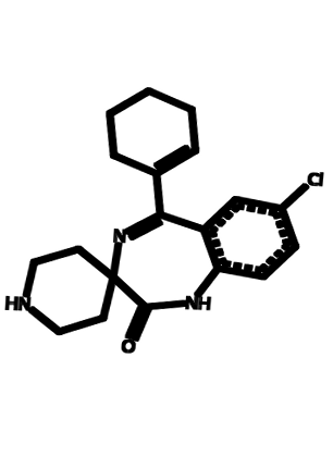 O=C1Nc2ccc(Cl)cc2C(C2=CCCCC2)=NC12CCNCC2